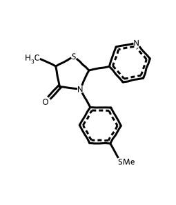 CSc1ccc(N2C(=O)C(C)SC2c2cccnc2)cc1